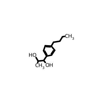 CCCCc1ccc(C(O)C(C)O)cc1